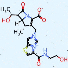 C[C@@H](O)[C@H]1C(=O)N2C(C(=O)[O-])=C(Cn3cc4scc(C(=O)NCCO)[n+]4c3)[C@H](C)[C@H]12